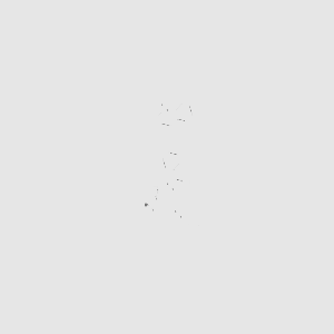 Cc1cc(COc2ccc(C(=O)N[C@@H]3CCN(CC(C)(C)C)C[C@@H]3C(=O)NO)cc2)c2ccccc2n1